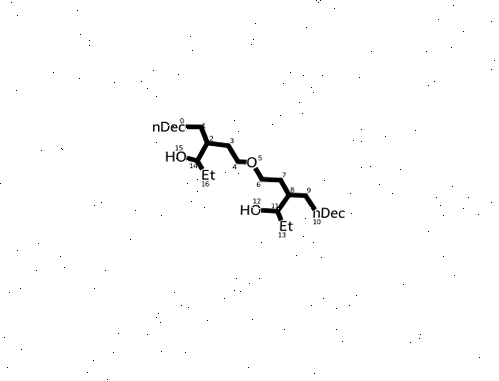 CCCCCCCCCCCC(CCOCCC(CCCCCCCCCCC)C(O)CC)C(O)CC